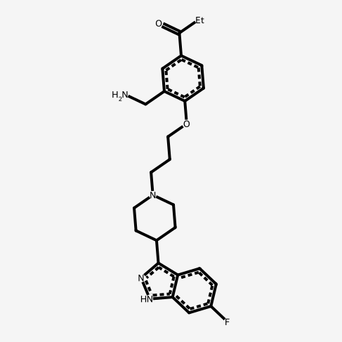 CCC(=O)c1ccc(OCCCN2CCC(c3n[nH]c4cc(F)ccc34)CC2)c(CN)c1